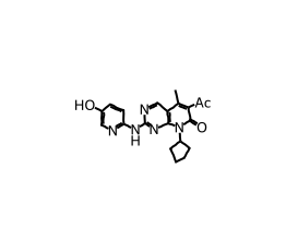 CC(=O)c1c(C)c2cnc(Nc3ccc(O)cn3)nc2n(C2CCCC2)c1=O